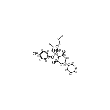 CCCONC(CCC)(Oc1ccc(Cl)cc1)C1C(=O)CC(C2CCCSC2)CC1=O